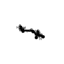 O=C1CCC(N2C(=O)c3cccc(NCCOCCOCC(=O)N4CCN(CC[C@H](CSc5ccccc5)Nc5ccc(S(=O)(=O)NC(=O)c6ccccc6)cc5S(=O)(=O)C(F)(F)F)CC4)c3C2=O)C(=O)N1